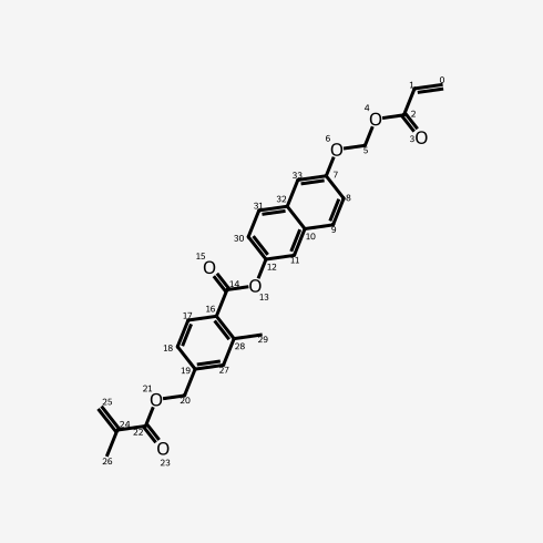 C=CC(=O)OCOc1ccc2cc(OC(=O)c3ccc(COC(=O)C(=C)C)cc3C)ccc2c1